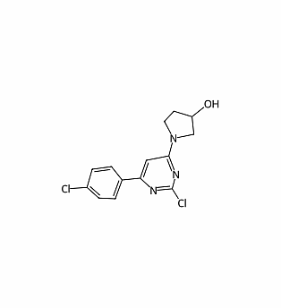 OC1CCN(c2cc(-c3ccc(Cl)cc3)nc(Cl)n2)C1